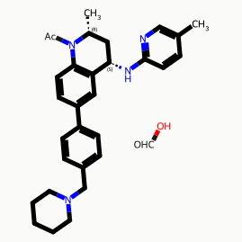 CC(=O)N1c2ccc(-c3ccc(CN4CCCCC4)cc3)cc2[C@@H](Nc2ccc(C)cn2)C[C@H]1C.O=CO